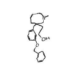 CN1CC=CCC(CCO)(c2cccc(OCc3ccccc3)c2)C1